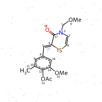 COCN1C=CS/C(=C\c2cc(C)c(OC(C)=O)c(OC)c2)C1=O